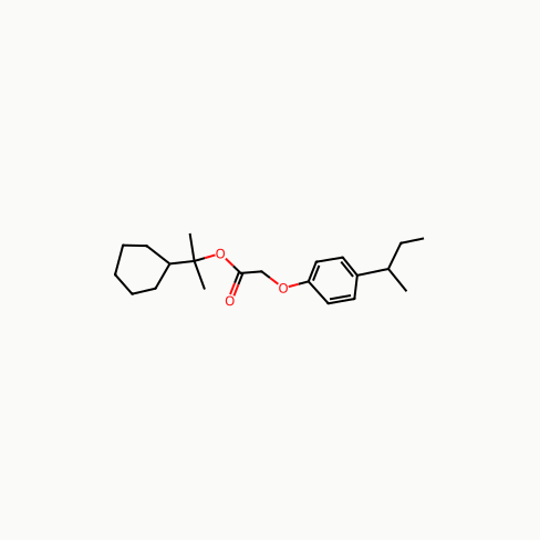 CCC(C)c1ccc(OCC(=O)OC(C)(C)C2CCCCC2)cc1